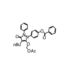 CCCCc1c(OCOC(C)=O)n(-c2ccc(OC(=O)c3ccccc3)cc2)n(-c2ccccc2)c1=O